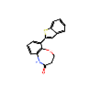 O=C1CCOc2c(cccc2-c2cc3ccccc3s2)N1